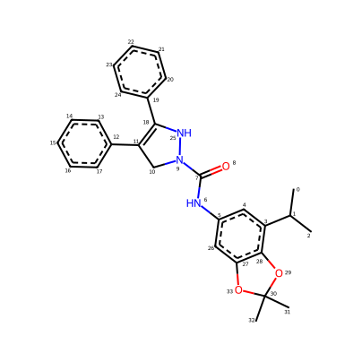 CC(C)c1cc(NC(=O)N2CC(c3ccccc3)=C(c3ccccc3)N2)cc2c1OC(C)(C)O2